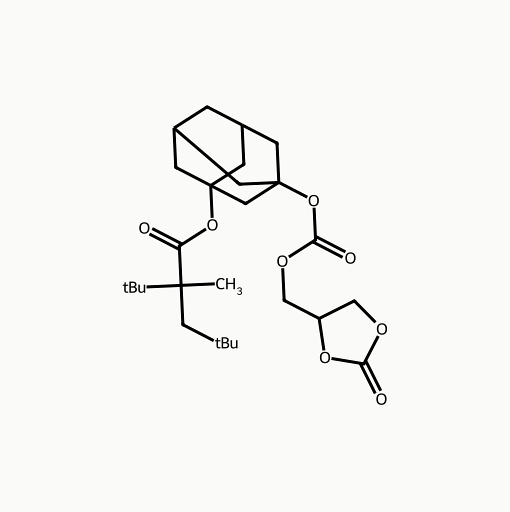 CC(C)(C)CC(C)(C(=O)OC12CC3CC(CC(OC(=O)OCC4COC(=O)O4)(C3)C1)C2)C(C)(C)C